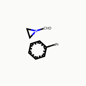 CC(C)c1ccccc1.O=CN1CC1